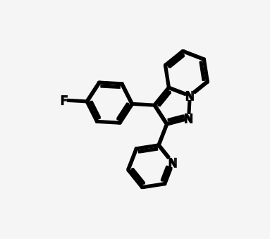 Fc1ccc(-c2c(-c3ccccn3)nn3ccccc23)cc1